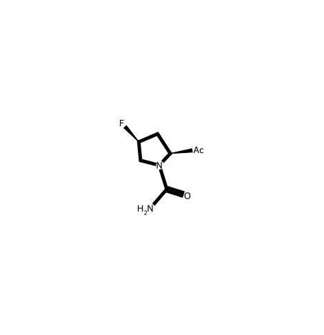 CC(=O)[C@@H]1C[C@H](F)CN1C(N)=O